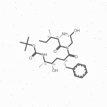 CC[C@H](C)[C@H](N)C(=O)N(CCO)C(=O)[C@H](Cc1ccccc1)C[C@H](O)[C@H](C)NC(=O)OC(C)(C)C